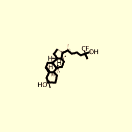 C[C@H](CCC[C@@](C)(O)C(F)(F)F)[C@H]1CC[C@H]2[C@@H]3CC=C4C[C@@](C)(O)CC[C@]4(C)[C@H]3CC[C@]12C